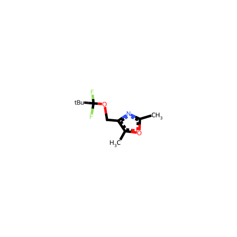 Cc1nc(COC(F)(F)C(C)(C)C)c(C)o1